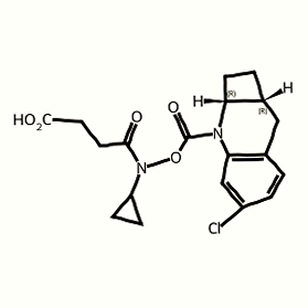 O=C(O)CCC(=O)N(OC(=O)N1c2cc(Cl)ccc2C[C@H]2CC[C@H]21)C1CC1